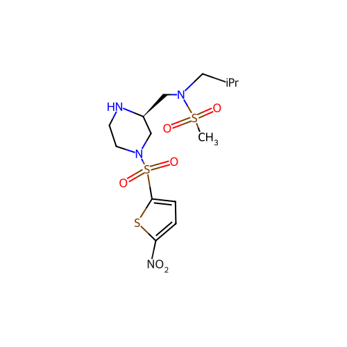 CC(C)CN(C[C@H]1CN(S(=O)(=O)c2ccc([N+](=O)[O-])s2)CCN1)S(C)(=O)=O